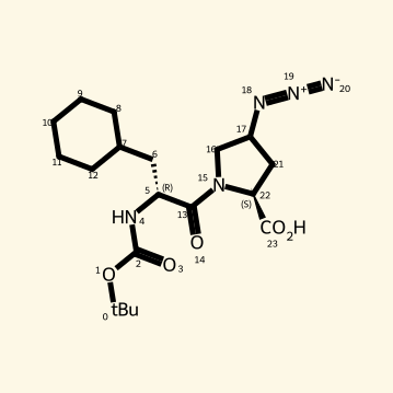 CC(C)(C)OC(=O)N[C@H](CC1CCCCC1)C(=O)N1CC(N=[N+]=[N-])C[C@H]1C(=O)O